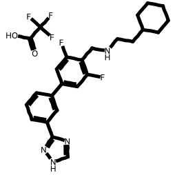 Fc1cc(-c2cccc(-c3nc[nH]n3)c2)cc(F)c1CNCCC1CCCCC1.O=C(O)C(F)(F)F